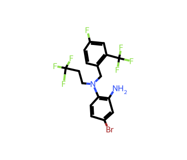 Nc1cc(Br)ccc1N(CCC(F)(F)F)Cc1ccc(F)cc1C(F)(F)F